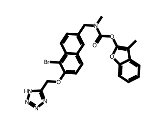 Cc1c(OC(=O)N(C)Cc2ccc3c(Br)c(OCc4nnn[nH]4)ccc3c2)oc2ccccc12